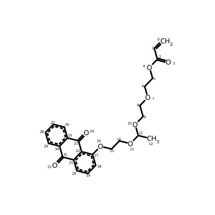 C=CC(=O)OCCOCCOC(C)OCCOc1cccc2c1C(=O)c1ccccc1C2=O